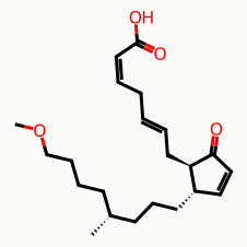 COCCCC[C@@H](C)CCC[C@H]1C=CC(=O)[C@@H]1CC=CC/C=C\C(=O)O